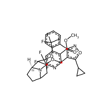 COC(=O)c1cnc(N2C3CC[C@H]2CC(OCc2c(-c4ccccc4OC(F)(F)F)noc2C2CC2)C3)cc1C(F)(F)F